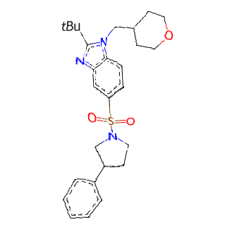 CC(C)(C)c1nc2cc(S(=O)(=O)N3CCC(c4ccccc4)C3)ccc2n1CC1CCOCC1